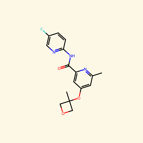 Cc1cc(OC2(C)COC2)cc(C(=O)Nc2ccc(F)cn2)n1